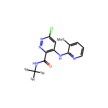 [2H]C([2H])([2H])NC(=O)c1nnc(Cl)cc1Nc1ncccc1SC